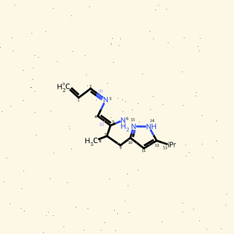 C=C/C=N\C=C(/N)C(C)Cc1cc(C(C)C)[nH]n1